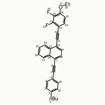 CCCCc1ccc(C#Cc2ccc(C#Cc3ccc(OCC)c(F)c3F)c3ccccc23)cc1